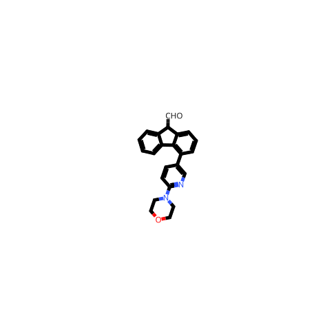 O=CC1c2ccccc2-c2c(-c3ccc(N4CCOCC4)nc3)cccc21